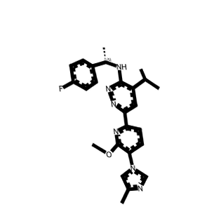 COc1nc(-c2cc(C(C)C)c(N[C@@H](C)c3ccc(F)cc3)nn2)ccc1-n1cnc(C)c1